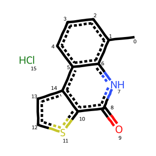 Cc1cccc2c1[nH]c(=O)c1sccc12.Cl